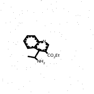 CCOC(=O)c1cnc2ccccc2c1C(C)N